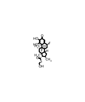 C[C@@H]1C[C@H]2[C@@H]3C[C@H](F)C4=CC(=O)C(O)=C(O)[C@]4(C)[C@@]3(F)CC[C@]2(C)[C@H]1C(=O)SCO